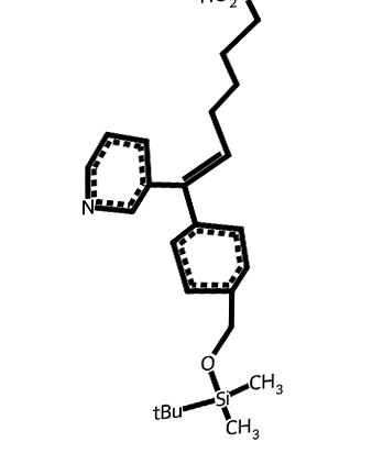 CC(C)(C)[Si](C)(C)OCc1ccc(C(=CCCCCC(=O)O)c2cccnc2)cc1